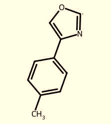 Cc1ccc(-c2co[c]n2)cc1